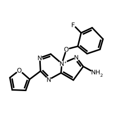 NC1=N[N+]2(Oc3ccccc3F)C=NC(c3ccco3)=NC2=C1